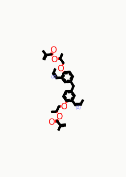 C=C(C)C(=O)OC(C)COc1ccc(Cc2ccc(OCC(C)OC(=O)C(=C)C)c(/C=C\C)c2)cc1/C=C\C